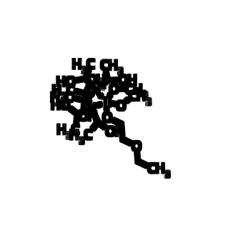 CCOCC[O][Ti]([O]C)([O]C)([N+](C(C)O)(C(C)O)C(C)O)[N+](C(C)O)(C(C)O)C(C)O